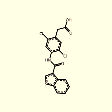 O=C(O)Cc1cc(Cl)c(NC(=O)c2csc3ccccc23)cc1Cl